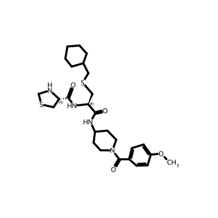 COc1ccc(C(=O)N2CCC(NC(=O)[C@H](CSCC3CCCCC3)NC(=O)[C@@H]3CSCN3)CC2)cc1